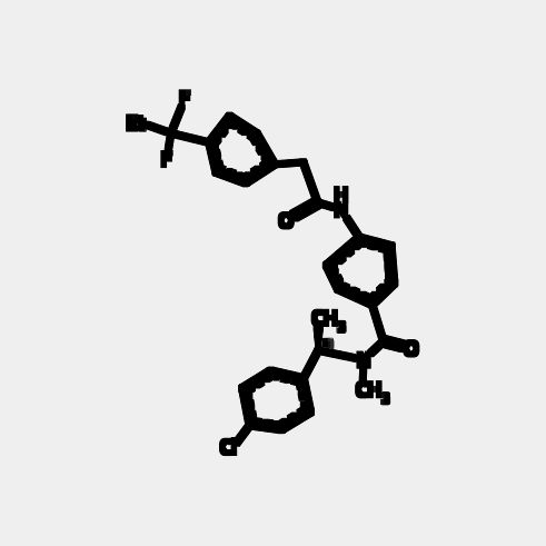 CCC(F)(F)c1ccc(CC(=O)Nc2ccc(C(=O)N(C)[C@H](C)c3ccc(Cl)cc3)cc2)cc1